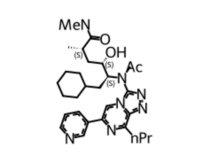 CCCc1nc(-c2cccnc2)cn2c(N(C(C)=O)[C@@H](CC3CCCCC3)[C@@H](O)C[C@H](C)C(=O)NC)nnc12